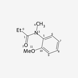 [CH2]CC(=O)N(C)c1ccccc1OC